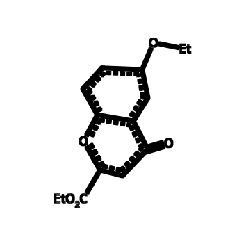 CCOC(=O)c1cc(=O)c2cc(OCC)ccc2o1